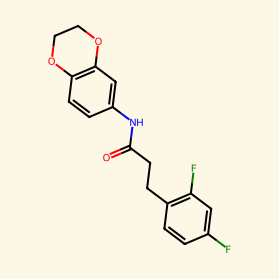 O=C(CCc1ccc(F)cc1F)Nc1ccc2c(c1)OCCO2